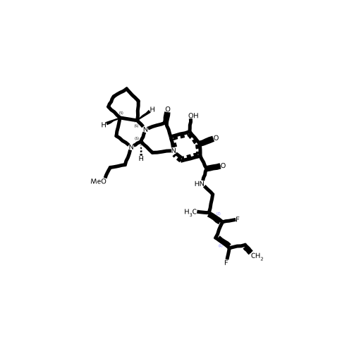 C=C/C(F)=C\C(F)=C(/C)CNC(=O)c1cn2c(c(O)c1=O)C(=O)N1[C@H]3CCCC[C@H]3CN(CCOC)[C@@H]1C2